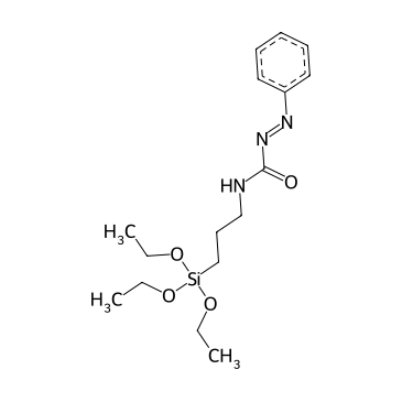 CCO[Si](CCCNC(=O)N=Nc1ccccc1)(OCC)OCC